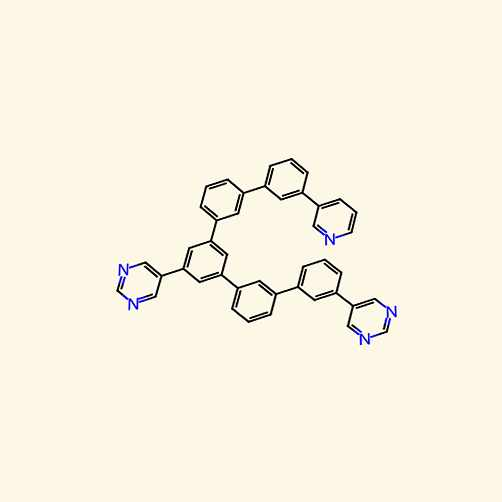 c1cncc(-c2cccc(-c3cccc(-c4cc(-c5cncnc5)cc(-c5cccc(-c6cccc(-c7cncnc7)c6)c5)c4)c3)c2)c1